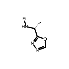 CCN[C@H](C)c1nnco1